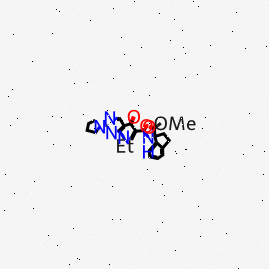 CCn1cc(C(=O)NC2(C(=O)OC)CCc3ccccc32)c(=O)c2cnc(N3CCCC3)nc21